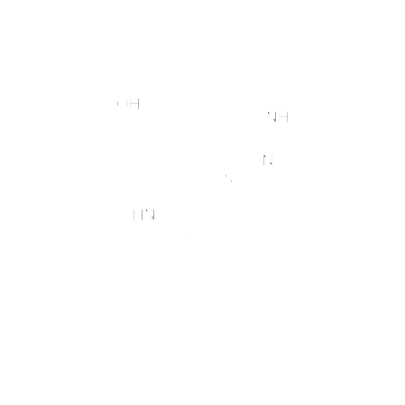 N=NSc1ccccc1NCCO